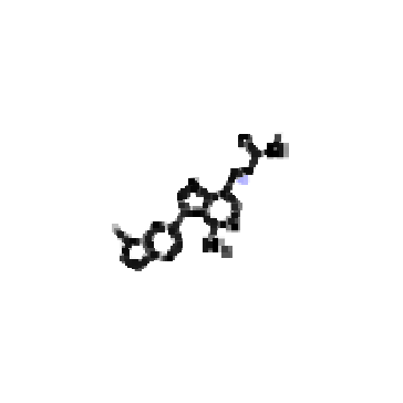 CNC(=O)/C=C/c1cnc(N)c2c(-c3ccc4ccn(C)c4c3)csc12